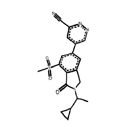 CC(C1CC1)N1Cc2cc(-c3cnnc(C#N)c3)cc(S(C)(=O)=O)c2C1=O